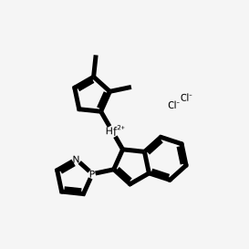 CC1=CC[C]([Hf+2][CH]2C(p3cccn3)=Cc3ccccc32)=C1C.[Cl-].[Cl-]